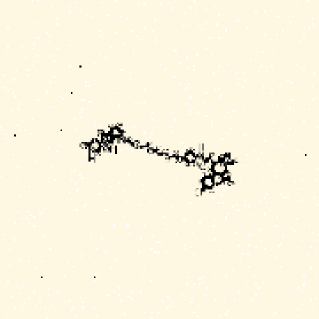 Cc1sc2c(c1C)C(c1ccc(Cl)cc1)=C[C@@H](CC(=O)Nc1ccc(OCCOCCOCCOCCNc3cccc4c3CN([C@]3(O)CCC(=O)NC3)C4=O)cc1)c1nnc(C)n1-2